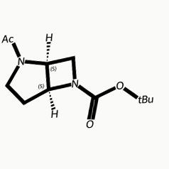 CC(=O)N1CC[C@H]2[C@@H]1CN2C(=O)OC(C)(C)C